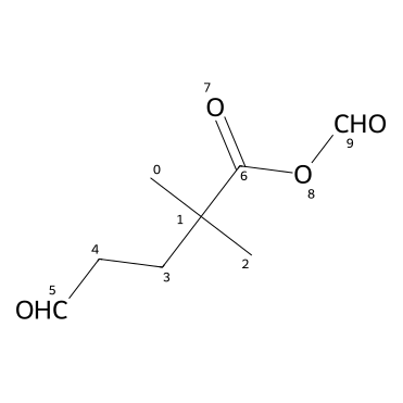 CC(C)(CCC=O)C(=O)OC=O